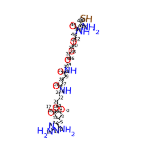 COc1cc(Cc2cnc(N)nc2N)cc(OC)c1OCCCCNC(=O)CCCC(=O)NCCOCCOCCOCCNC(=O)[C@@H](N)CS